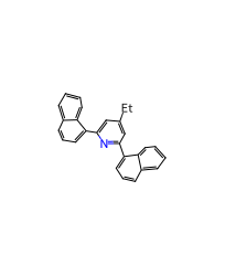 CCc1cc(-c2cccc3ccccc23)nc(-c2cccc3ccccc23)c1